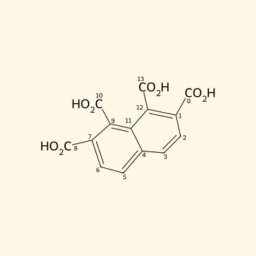 O=C(O)c1ccc2ccc(C(=O)O)c(C(=O)O)c2c1C(=O)O